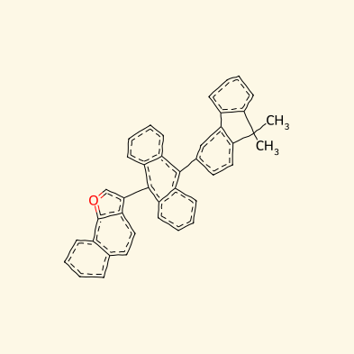 CC1(C)c2ccccc2-c2cc(-c3c4ccccc4c(-c4coc5c4ccc4ccccc45)c4ccccc34)ccc21